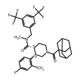 Cc1cc(F)ccc1[C@@H]1CN(C(=O)C23CC4CC(CC(C4)C2)C3)CC[C@H]1C(=O)N(C)Cc1cc(C(F)(F)F)cc(C(F)(F)F)c1